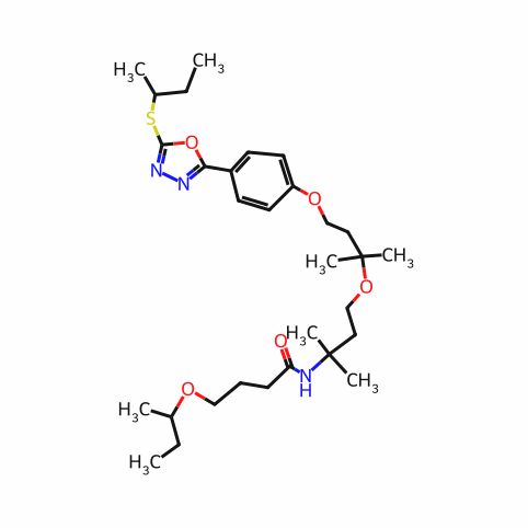 CCC(C)OCCCC(=O)NC(C)(C)CCOC(C)(C)CCOc1ccc(-c2nnc(SC(C)CC)o2)cc1